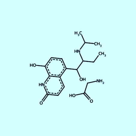 CCC(NC(C)C)C(O)c1ccc(O)c2[nH]c(=O)ccc12.NCC(=O)O